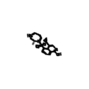 C[C@@H]1CNCCCN1S(=O)(=O)c1cccc2c(O)ncc(C3CC3)c12